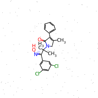 CC1=C(c2ccccc2)C(=O)N(C(C)(C)/C(=N\O)c2cc(Cl)cc(Cl)c2)C1